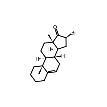 C[C@]12CCCCC1=CC[C@@H]1[C@@H]2CC[C@]2(C)C(=O)[C@@H](Br)C[C@@H]12